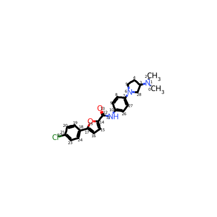 CN(C)C1CCN(c2ccc(NC(=O)c3ccc(-c4ccc(Cl)cc4)o3)cc2)C1